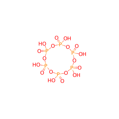 O=P1(O)OP(=O)(O)OP(=O)(O)OP(=O)(O)OP(=O)(O)OP(=O)(O)O1